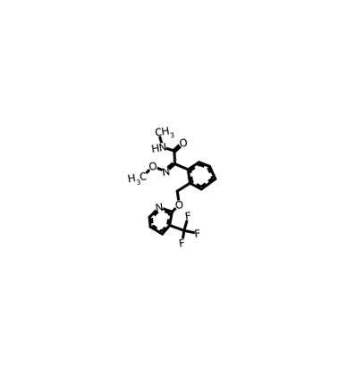 CNC(=O)C(=NOC)c1ccccc1COc1ncccc1C(F)(F)F